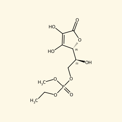 CCOP(=O)(OC)OC[C@H](O)[C@H]1OC(=O)C(O)=C1O